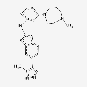 Cc1[nH]ncc1-c1ccc2nc(Nc3cc(N4CCCN(C)CC4)ccn3)sc2c1